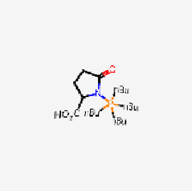 CCCCP(CCCC)(CCCC)(CCCC)N1C(=O)CCC1C(=O)O